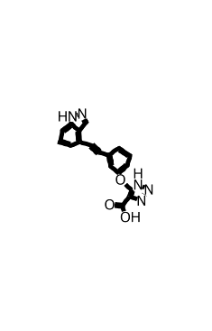 O=C(O)c1nn[nH]c1Oc1cccc(C#Cc2cccc3[nH]ncc23)c1